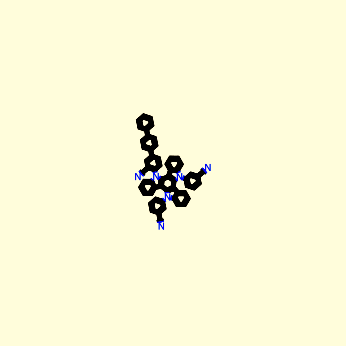 N#Cc1cccc(-n2c3ccccc3c3c2c2c4ccccc4n(-c4ccc(-c5ccc(-c6ccccc6)cc5)cc4C#N)c2c2c4ccccc4n(-c4cccc(C#N)c4)c32)c1